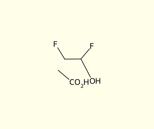 CC(=O)O.OC(F)CF